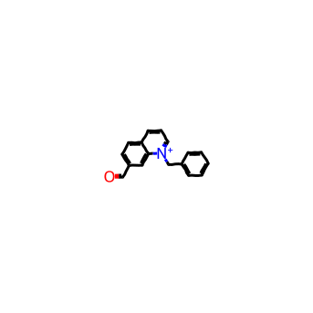 O=Cc1ccc2ccc[n+](Cc3ccccc3)c2c1